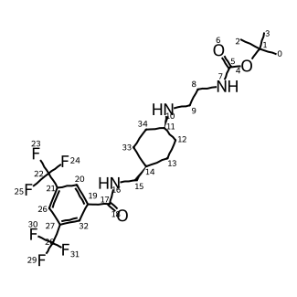 CC(C)(C)OC(=O)NCCN[C@H]1CC[C@@H](CNC(=O)c2cc(C(F)(F)F)cc(C(F)(F)F)c2)CC1